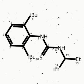 CCC(C)c1cccc(C(C)CC)c1NC(=S)NC(CC)C(C)C